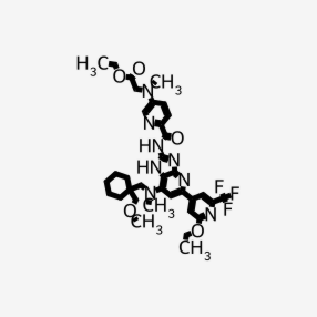 CCOC(=O)CN(C)c1ccc(C(=O)Nc2nc3nc(-c4cc(OCC)nc(C(F)(F)F)c4)cc(N(C)CC4(COC)CCCCC4)c3[nH]2)nc1